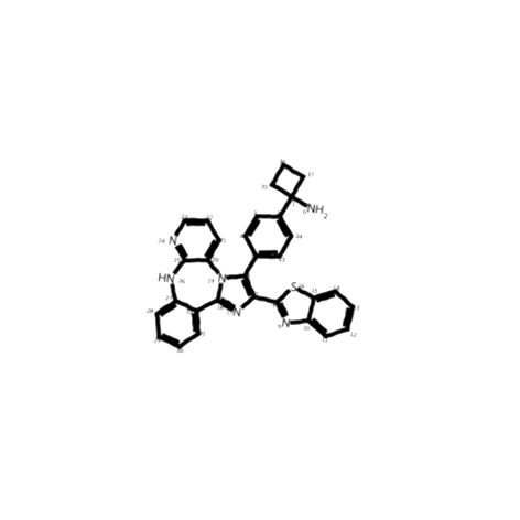 NC1(c2ccc(-c3c(-c4nc5ccccc5s4)nc4n3-c3cccnc3Nc3ccccc3-4)cc2)CCC1